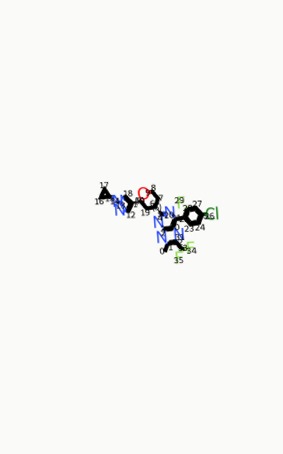 Cc1nc2nc([C@H]3CCO[C@@H](c4cnn(C5CC5)c4)C3)nc(-c3ccc(Cl)cc3F)c2nc1C(F)F